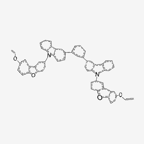 C=COc1ccc2oc3ccc(-n4c5ccccc5c5cc(-c6cccc(-c7ccc8c(c7)c7ccccc7n8-c7ccc8oc9ccc(OC=C)cc9c8c7)c6)ccc54)cc3c2c1